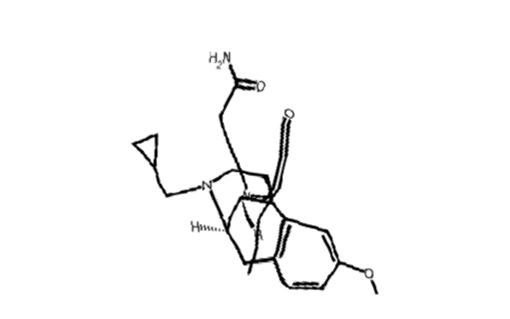 COc1ccc2c(c1)[C@]13CCN(CC4CC4)[C@H](C2)[C@@H]1CN(CC(N)=O)C(=O)C3